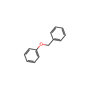 [c]1cccc(OCc2ccccc2)c1